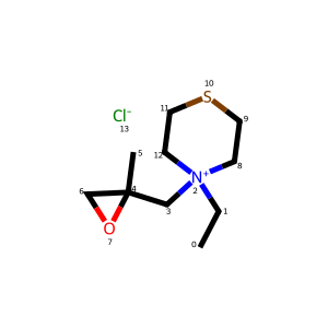 CC[N+]1(CC2(C)CO2)CCSCC1.[Cl-]